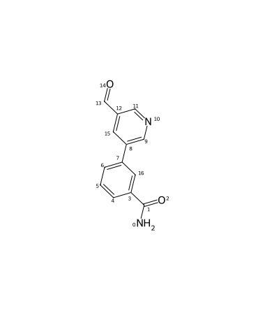 NC(=O)c1cccc(-c2cncc(C=O)c2)c1